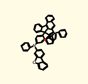 c1ccc(N(c2ccc3c(c2)-c2ccccc2C32c3ccccc3-c3c2c(N(c2ccccc2)c2ccccc2)cc2ccccc32)c2ccc3c(c2)oc2ccccc23)cc1